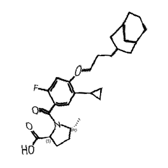 C[C@@H]1CC[C@@H](C(=O)O)N1C(=O)c1cc(C2CC2)c(OCCCC2CC3CCCC(C2)C3)cc1F